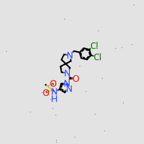 CS(=O)(=O)Nc1cnn(C(=O)N2CCC3(CCN(Cc4ccc(Cl)c(Cl)c4)C3)C2)c1